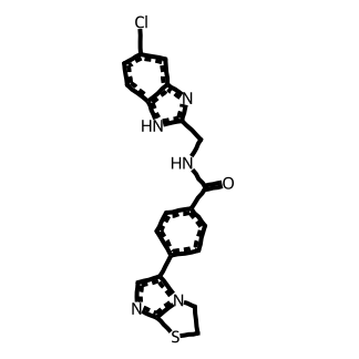 O=C(NCc1nc2cc(Cl)ccc2[nH]1)c1ccc(-c2cnc3n2CCS3)cc1